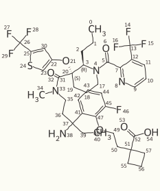 CCC[C@H]1N(C(=O)c2ncccc2C(F)(F)F)CCC[C@@]1(Oc1csc(C(F)(F)F)c1)C(=O)N(C)CCC(N)(CC)c1cccc(F)c1OCCC1(C(=O)O)CCC1